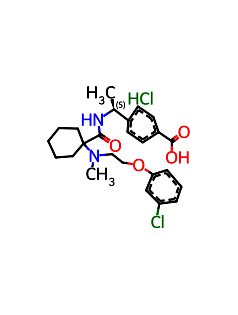 C[C@H](NC(=O)C1(N(C)CCOc2cccc(Cl)c2)CCCCC1)c1ccc(C(=O)O)cc1.Cl